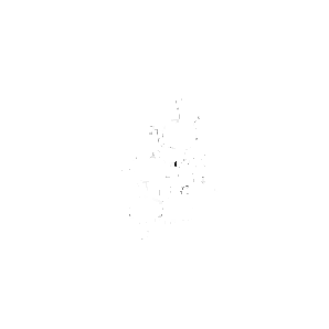 Cc1ccc(S(=O)(=O)N2CCCC2(c2ccccc2)c2ccccc2)cc1